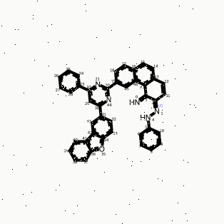 N=C1/C(=N\Nc2ccccc2)C=Cc2ccc3ccc(-c4nc(-c5ccccc5)cc(-c5ccc6oc7ccccc7c6c5)n4)cc3c21